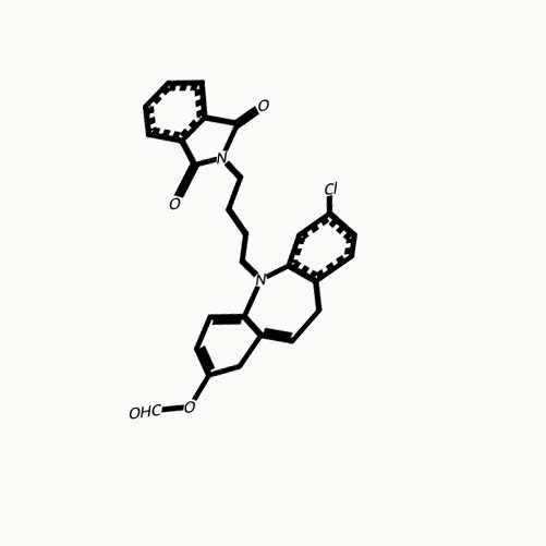 O=COC1=CC=C2C(=CCc3ccc(Cl)cc3N2CCCCN2C(=O)c3ccccc3C2=O)C1